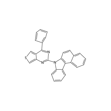 c1ccc(-c2nc(-n3c4ccccc4c4c5ccccc5ccc43)nc3cscc23)cc1